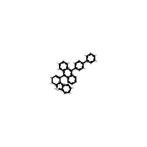 C1=C(c2c3ccccc3c(-c3ccc(-c4ccccc4)cc3)c3ccccc23)c2c(oc3ccccc23)CC1